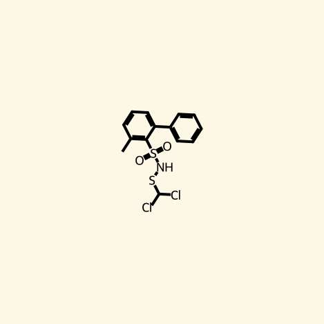 Cc1cccc(-c2ccccc2)c1S(=O)(=O)NSC(Cl)Cl